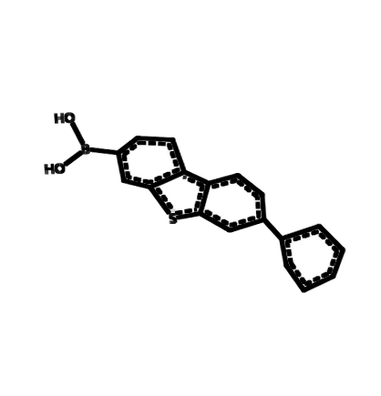 OB(O)c1ccc2c(c1)sc1cc(-c3ccccc3)ccc12